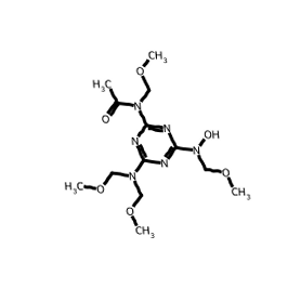 COCN(O)c1nc(N(COC)COC)nc(N(COC)C(C)=O)n1